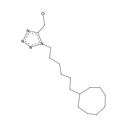 [O]Cc1nnnn1CCCCCCC1CCCCCCC1